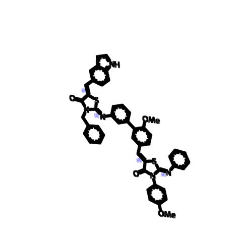 COc1ccc(N2C(=O)/C(=C/c3ccc(OC)c(-c4cccc(/N=C5\S/C(=C\c6ccc7[nH]ccc7c6)C(=O)N5Cc5ccccc5)c4)c3)S/C2=N\c2ccccc2)cc1